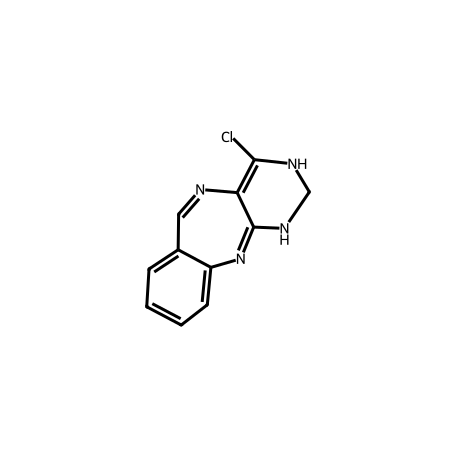 ClC1=C2N=Cc3ccccc3N=C2NCN1